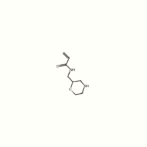 C=CC(=O)NCC1CNCCO1